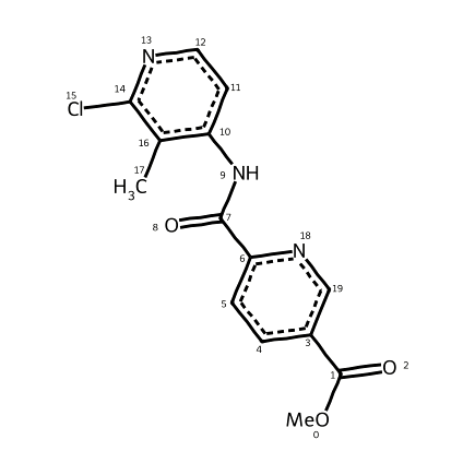 COC(=O)c1ccc(C(=O)Nc2ccnc(Cl)c2C)nc1